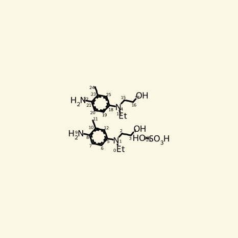 CCN(CCO)c1ccc(N)c(C)c1.CCN(CCO)c1ccc(N)c(C)c1.O=S(=O)(O)O